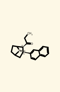 CCC(=O)[C@@H]1C2CCC(C[C@@H]1c1ccc3ccccc3c1)N2C